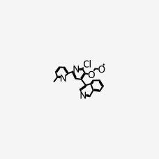 COCOc1c(-c2cncc3ccccc23)cc(-c2cccc(C)n2)nc1Cl